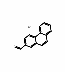 O=Cc1ccc2c(ccc3ccccc32)c1.[H+]